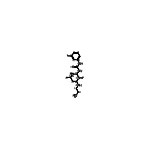 Cc1cccc(NC(=O)NC2NC(C)CC(NCCO)N2C)c1